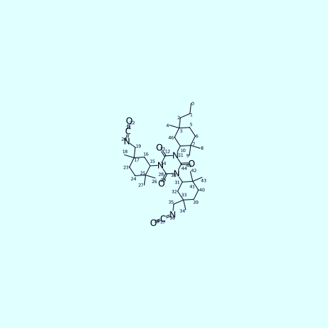 CCCC1(C)CCC(C)(C)C(n2c(=O)n(C3CC(C)(CN=C=O)CCC3(C)C)c(=O)n(C3CC(C)(CN=C=O)CCC3(C)C)c2=O)C1